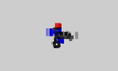 O=C1CNC(c2cc3ccccc3nc2C(=O)O)=N1